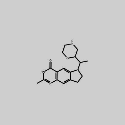 Cc1nc2cc3c(cc2c(=O)[nH]1)N(C(C)C1CNCCO1)CC3